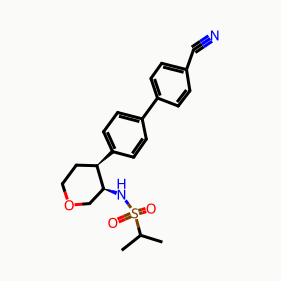 CC(C)S(=O)(=O)N[C@H]1COCC[C@H]1c1ccc(-c2ccc(C#N)cc2)cc1